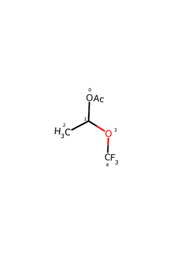 CC(=O)OC(C)OC(F)(F)F